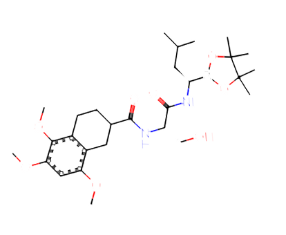 COc1cc(OC)c(OC)c2c1CC(C(=O)N[C@@H](CO)C(=O)N[C@@H](CC(C)C)B1OC(C)(C)C(C)(C)O1)CC2